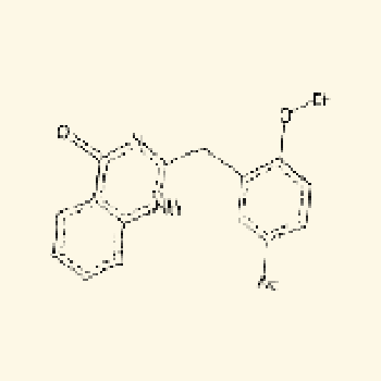 CCOc1ccc(C(C)=O)cc1Cc1nc(=O)c2ccccc2[nH]1